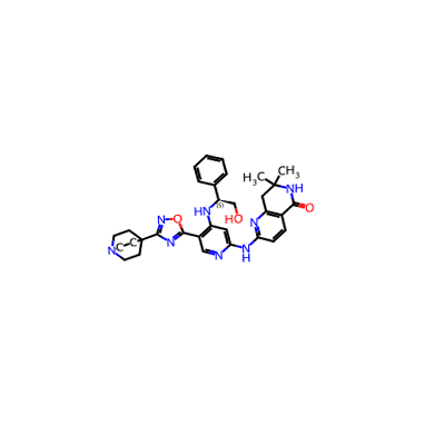 CC1(C)Cc2nc(Nc3cc(N[C@H](CO)c4ccccc4)c(-c4nc(C56CCN(CC5)CC6)no4)cn3)ccc2C(=O)N1